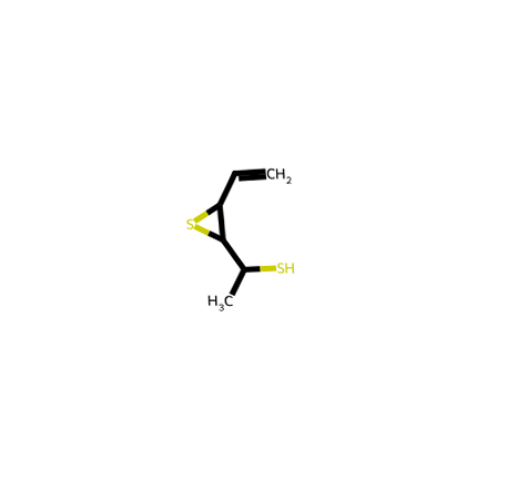 C=CC1SC1C(C)S